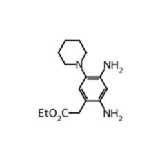 CCOC(=O)Cc1cc(N2CCCCC2)c(N)cc1N